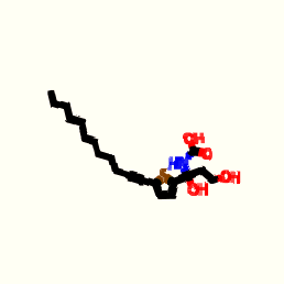 CCCCCCCCCCC#Cc1ccc(C(O)(CCO)NC(=O)O)s1